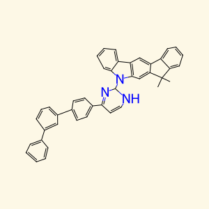 CC1(C)c2ccccc2-c2cc3c4ccccc4n(C4N=C(c5ccc(-c6cccc(-c7ccccc7)c6)cc5)C=CN4)c3cc21